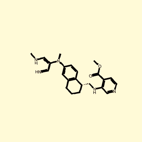 CN/C=C(\C=N)N(C)c1ccc2c(c1)CCC[C@H]2CNc1cnccc1C(=O)OC